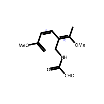 C=C(/C=C\C(CNC(=O)C=O)=C(/C)OC)OC